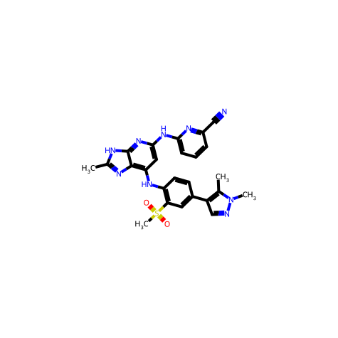 Cc1nc2c(Nc3ccc(-c4cnn(C)c4C)cc3S(C)(=O)=O)cc(Nc3cccc(C#N)n3)nc2[nH]1